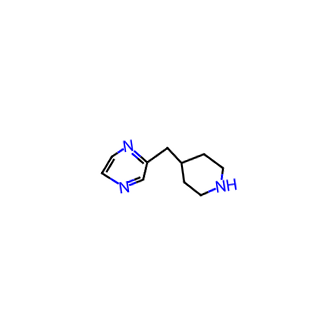 c1cnc(CC2CCNCC2)cn1